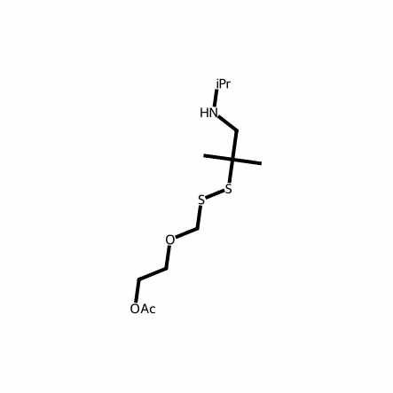 CC(=O)OCCOCSSC(C)(C)CNC(C)C